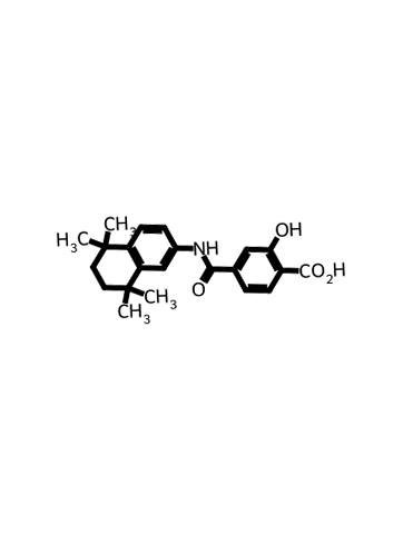 CC1(C)CCC(C)(C)c2cc(NC(=O)c3ccc(C(=O)O)c(O)c3)ccc21